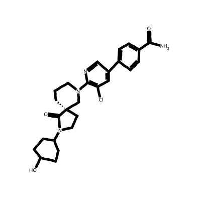 NC(=O)c1ccc(-c2cnc(N3CCC[C@@]4(CCN(C5CCC(O)CC5)C4=O)C3)c(Cl)c2)cc1